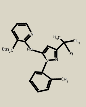 CCOC(=O)c1cccnc1Nc1cc(C(C)(C)CC)nn1-c1ccccc1C